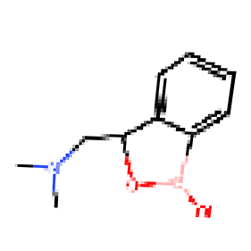 CN(C)CC1OB(O)c2ccccc21